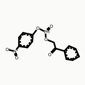 O=C(CO[PH](=O)Oc1ccc([N+](=O)[O-])cc1)c1ccccc1